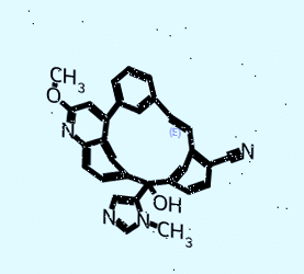 COc1cc2c3cc(ccc3n1)C(O)(c1cncn1C)c1ccc(C#N)c(c1)/C=C/c1cccc-2c1